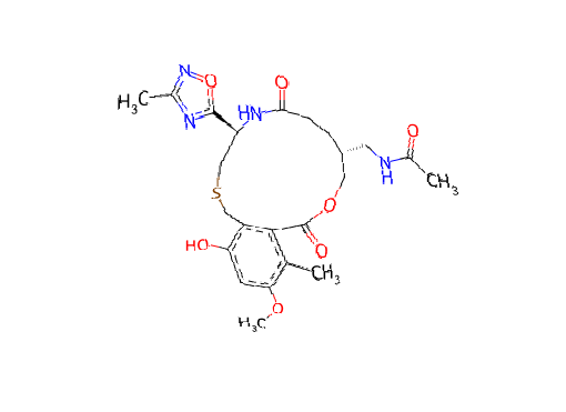 COc1cc(O)c2c(c1C)C(=O)OC[C@@H](CNC(C)=O)CCC(=O)N[C@H](c1nc(C)no1)CSC2